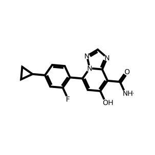 [NH]C(=O)c1c(O)cc(-c2ccc(C3CC3)cc2F)n2ncnc12